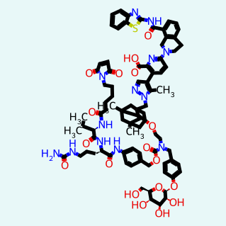 Cc1c(-c2ccc(N3CCc4cccc(C(=O)Nc5nc6ccccc6s5)c4C3)nc2C(=O)O)cnn1CC12CC3(C)CC(C)(C1)CC(OCCN(Cc1ccc(O[C@H]4O[C@H](CO)[C@@H](O)[C@H](O)[C@H]4O)cc1)C(=O)OCc1ccc(NC(=O)[C@H](CCCNC(N)=O)NC(=O)[C@@H](NC(=O)CCCCCN4C(=O)C=CC4=O)C(C)C)cc1)(C3)C2